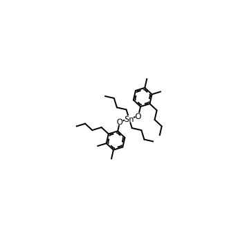 CCCCc1c([O][Sn]([CH2]CCC)([CH2]CCC)[O]c2ccc(C)c(C)c2CCCC)ccc(C)c1C